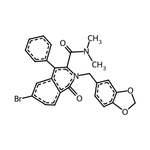 CN(C)C(=O)c1c(-c2ccccc2)c2cc(Br)ccc2c(=O)n1Cc1ccc2c(c1)OCO2